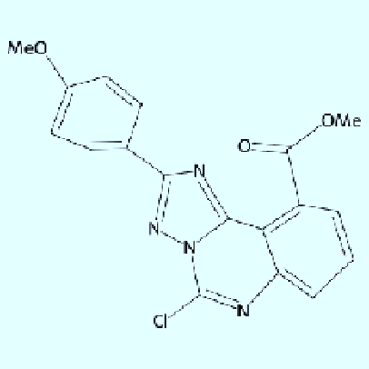 COC(=O)c1cccc2nc(Cl)n3nc(-c4ccc(OC)cc4)nc3c12